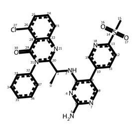 C[C@H](Nc1nc(N)ncc1-c1ccc(S(C)(=O)=O)nc1)c1nc2cccc(Cl)c2c(=O)n1-c1ccccc1